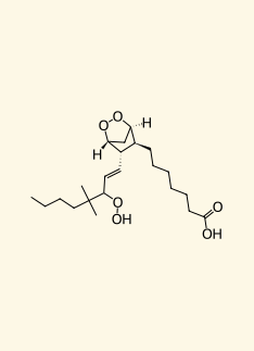 CCCCC(C)(C)C(C=C[C@H]1[C@H](CCCCCCC(=O)O)[C@H]2C[C@H]1OO2)OO